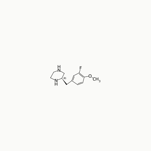 COc1ccc(C[C@@H]2CNCCN2)cc1F